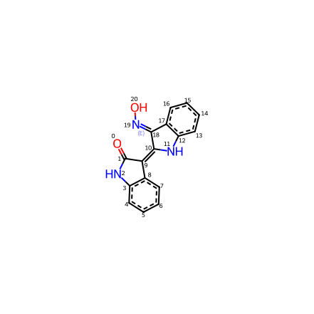 O=C1Nc2ccccc2C1=C1Nc2ccccc2/C1=N\O